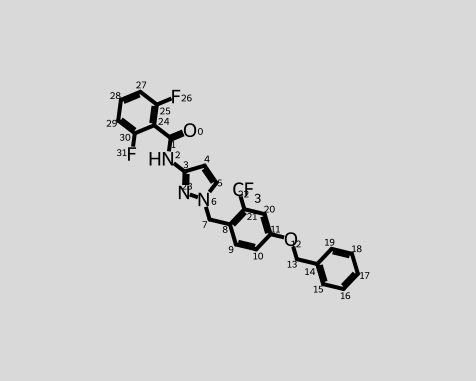 O=C(Nc1ccn(Cc2ccc(OCc3ccccc3)cc2C(F)(F)F)n1)c1c(F)cccc1F